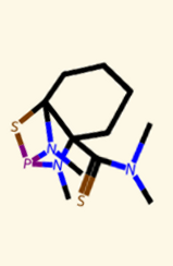 CN(C)C(=S)C12CCCCC13SP(N3C)N2C